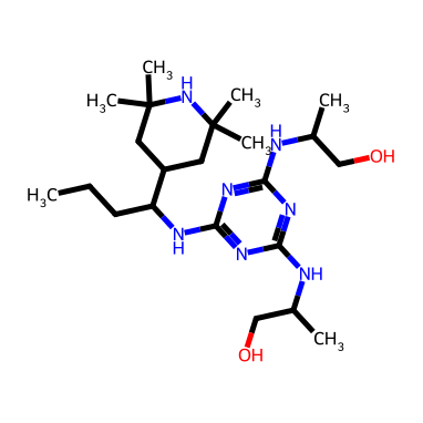 CCCC(Nc1nc(NC(C)CO)nc(NC(C)CO)n1)C1CC(C)(C)NC(C)(C)C1